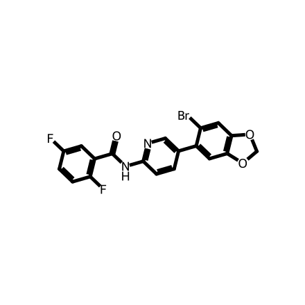 O=C(Nc1ccc(-c2cc3c(cc2Br)OCO3)cn1)c1cc(F)ccc1F